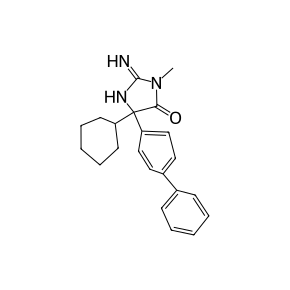 CN1C(=N)NC(c2ccc(-c3ccccc3)cc2)(C2CCCCC2)C1=O